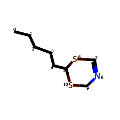 CCCCCC1SC=NCS1